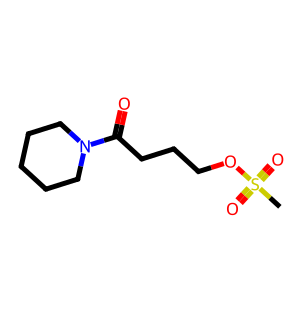 CS(=O)(=O)OCCCC(=O)N1CCCCC1